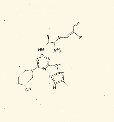 C=C/C(F)=C\N=C(/N)[C@H](C)Nc1nc(Nc2cc(C)[nH]n2)nc(N2CCC[C@@H](O)C2)n1